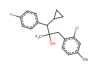 N#Cc1ccc(CC(O)(C(c2ccc(F)cc2)C2CC2)C(F)(F)F)c(Cl)c1